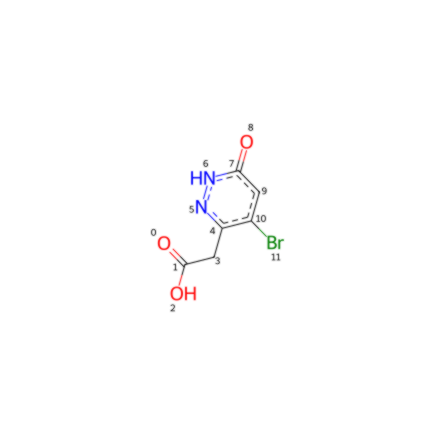 O=C(O)Cc1n[nH]c(=O)cc1Br